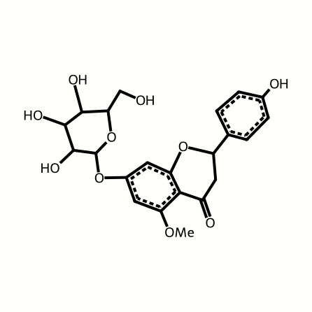 COc1cc(OC2OC(CO)C(O)C(O)C2O)cc2c1C(=O)CC(c1ccc(O)cc1)O2